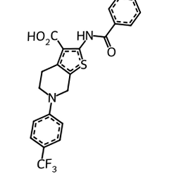 O=C(Nc1sc2c(c1C(=O)O)CCN(c1ccc(C(F)(F)F)cc1)C2)c1ccccc1